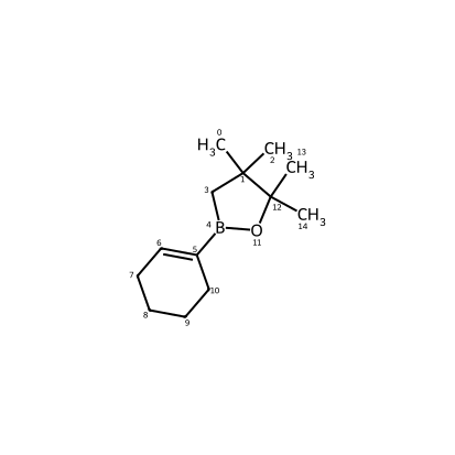 CC1(C)CB(C2=CCCCC2)OC1(C)C